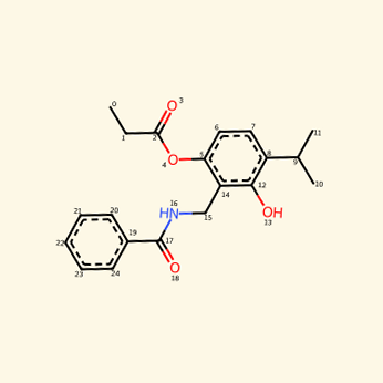 CCC(=O)Oc1ccc(C(C)C)c(O)c1CNC(=O)c1ccccc1